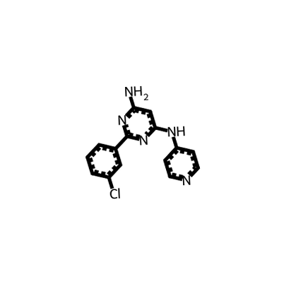 Nc1cc(Nc2ccncc2)nc(-c2cccc(Cl)c2)n1